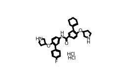 Cl.Cl.O=C(Nc1ccc(OC2CCNC2)c(-c2ccc(F)cc2)c1)c1ccc(OC2CCNC2)c(C2=CCCCC2)c1